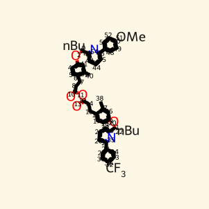 CCCC[C@H](Oc1ccc(CCC(=O)OC(=O)CCc2ccc(O[C@@H](CCCC)c3cccc(-c4ccc(C(F)(F)F)cc4)n3)cc2C)c(C)c1)c1cccc(-c2ccc(OC)cc2)n1